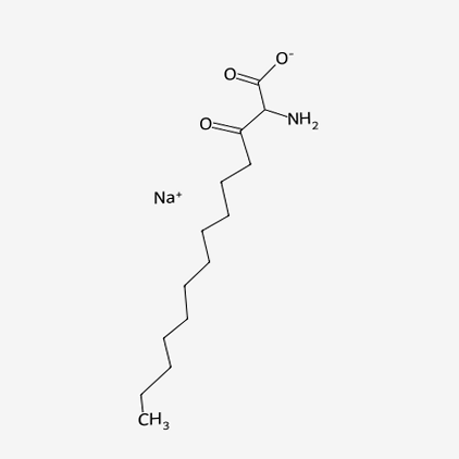 CCCCCCCCCCCC(=O)C(N)C(=O)[O-].[Na+]